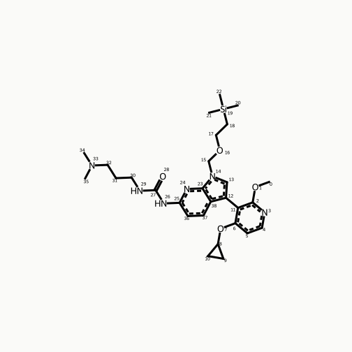 COc1nccc(OC2CC2)c1-c1cn(COCC[Si](C)(C)C)c2nc(NC(=O)NCCCN(C)C)ccc12